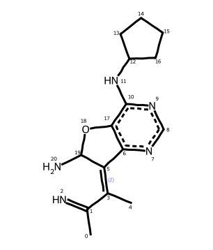 CC(=N)/C(C)=C1/c2ncnc(NC3CCCC3)c2OC1N